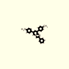 Cc1ccc(-c2cc(-c3ccc(C)cc3)c3nc(-c4ccccc4)cn3c2)cc1